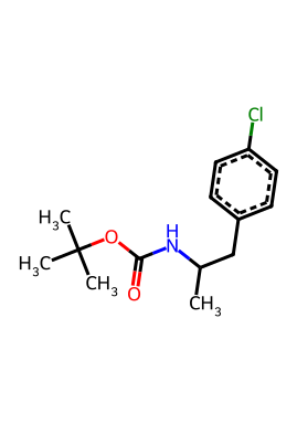 CC(Cc1ccc(Cl)cc1)NC(=O)OC(C)(C)C